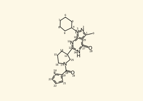 Cc1nn(C2CCCCC2)c2nc(C3CCCN(C(=O)c4cccs4)C3)[nH]c(=O)c12